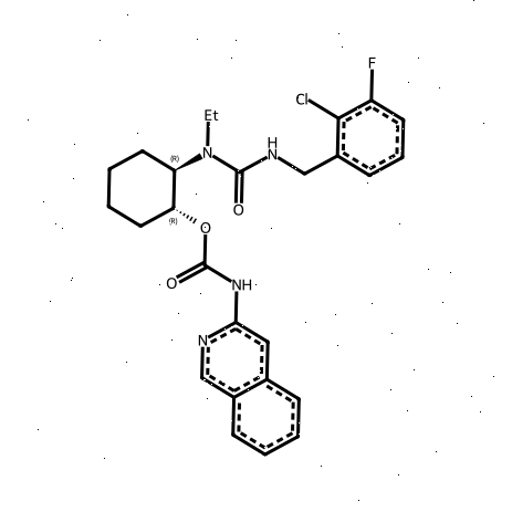 CCN(C(=O)NCc1cccc(F)c1Cl)[C@@H]1CCCC[C@H]1OC(=O)Nc1cc2ccccc2cn1